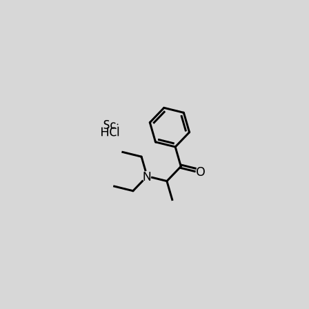 CCN(CC)C(C)C(=O)c1ccccc1.Cl.[Sc]